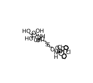 O=C(Cc1ccccc1Nc1c(Cl)cccc1Cl)NC(=O)OCCSSCCOC(=O)NC1C(O)OC(CO)C(O)C1O